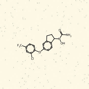 NC(=O)N(O)C1CCc2cc(Oc3ccc(C(F)(F)F)cc3Cl)ccc21